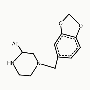 CC(=O)C1CN(Cc2ccc3c(c2)OCO3)CCN1